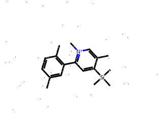 Cc1ccc(C)c(-c2cc([Si](C)(C)C)c(C)c[n+]2C)c1